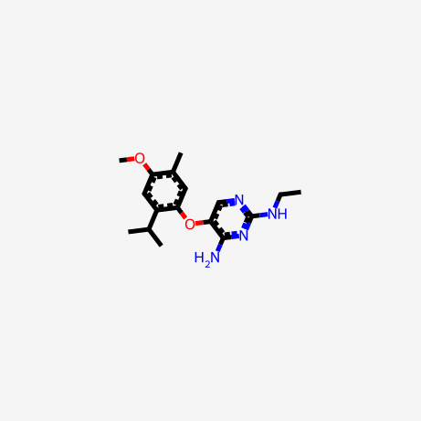 CCNc1ncc(Oc2cc(C)c(OC)cc2C(C)C)c(N)n1